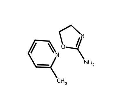 Cc1ccccn1.NC1=NCCO1